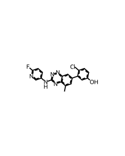 Cc1cc(-c2cc(O)ccc2Cl)cc2nnc(Nc3ccc(F)nc3)nc12